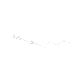 C#CC#CCCCCC